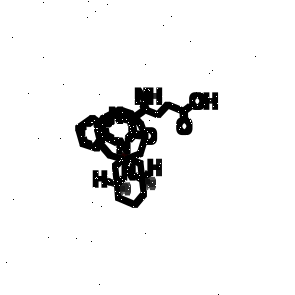 N=C(CCC(=O)O)c1nc2ccccc2n([C@H]2C[C@H]3CCC[C@@H](C2)N3C2CCCCCCCCC2)c1=O